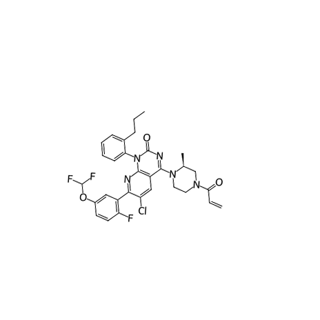 C=CC(=O)N1CCN(c2nc(=O)n(-c3ccccc3CCC)c3nc(-c4cc(OC(F)F)ccc4F)c(Cl)cc23)[C@@H](C)C1